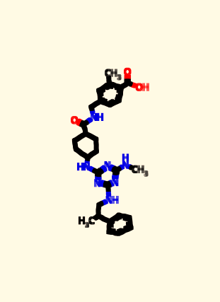 CNc1nc(NCC(C)c2ccccc2)nc(NC2CCC(C(=O)NCc3ccc(C(=O)O)c(C)c3)CC2)n1